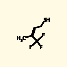 C/C(=C/CS)C(F)(F)F